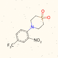 O=[N+]([O-])c1cc(C(F)(F)F)ccc1N1CCS(=O)(=O)CC1